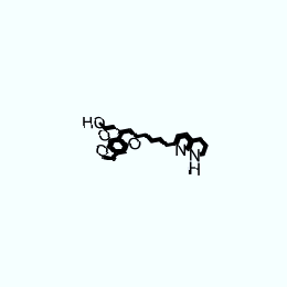 O=C(O)C[C@@H](CC(=O)CCCCc1ccc2c(n1)NCCC2)c1ccc2c(c1)OCC2